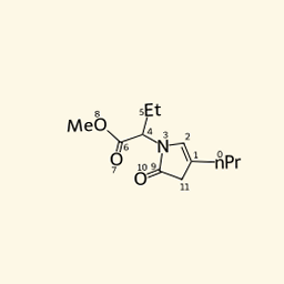 CCCC1=CN(C(CC)C(=O)OC)C(=O)C1